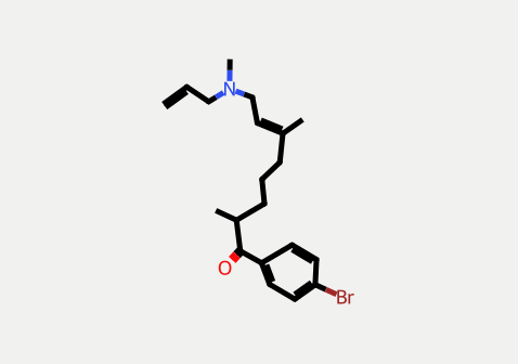 C=CCN(C)CC=C(C)CCCC(C)C(=O)c1ccc(Br)cc1